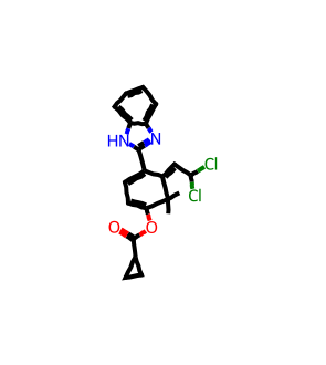 CC1(C)C(OC(=O)C2CC2)=CC=C(c2nc3ccccc3[nH]2)C1=CC(Cl)Cl